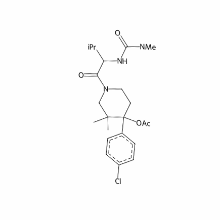 CNC(=O)NC(C(=O)N1CCC(OC(C)=O)(c2ccc(Cl)cc2)C(C)(C)C1)C(C)C